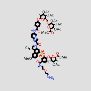 COC(=O)[C@H]1OC(Oc2ccc(C(=O)N(C)CCOCCN=[N+]=[N-])cc2OS(=O)(=O)c2cc3c(c4cc(OC)ccc24)[C@H](CCl)CN3C(=O)c2cn3cc(NC(=O)c4ccc(OC5O[C@H](CO[C@@H]6O[C@H](C(=O)OC)[C@@H](OC(C)=O)[C@H](OC(C)=O)[C@H]6OC(C)=O)[C@H](OC(C)=O)[C@H](OC(C)=O)[C@H]5C)cc4)ccc3n2)[C@H](OC(C)=O)[C@@H](OC(C)=O)[C@@H]1C